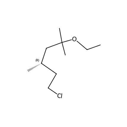 CCOC(C)(C)C[C@@H](C)CCCl